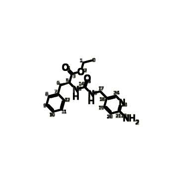 CCOC(=O)[C@H](Cc1ccccc1)NC(=O)NCc1ccc(N)nc1